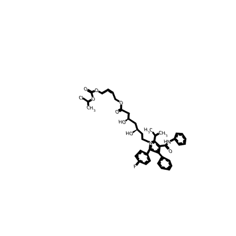 CC(Cl)OC(=O)OC/C=C\COC(=O)C[C@H](O)C[C@H](O)CCn1c(-c2ccc(F)cc2)c(-c2ccccc2)c(C(=O)Nc2ccccc2)c1C(C)C